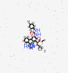 C=C[C@H]1Oc2c(NC(=O)Nc3ccc(C)cc3)cc(-c3ccccc3-c3nnn[nH]3)cc2[C@@H]1CCC(F)(F)F